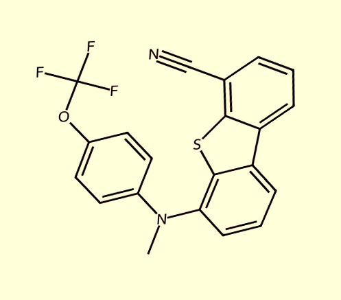 CN(c1ccc(OC(F)(F)F)cc1)c1cccc2c1sc1c(C#N)cccc12